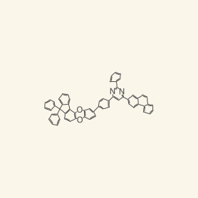 c1ccc(-c2nc(-c3ccc(-c4ccc5c(c4)Oc4c(ccc6c4-c4ccccc4C6(c4ccccc4)c4ccccc4)O5)cc3)cc(-c3ccc4c(ccc5ccccc54)c3)n2)cc1